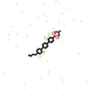 C=CCCc1ccc(-c2ccc(-c3ccc(C4OCC(C)CO4)c(F)c3F)cc2)c(F)c1F